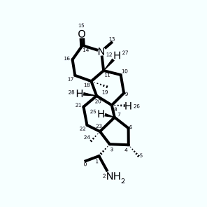 CC(N)[C@H]1[C@@H](C)C[C@H]2[C@@H]3CC[C@H]4N(C)C(=O)CC[C@]4(C)[C@H]3CC[C@@]21C